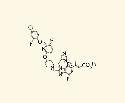 CCn1cncc1Cn1c(CN2CCC(Oc3ccc(F)c(COc4ccc(Cl)cc4F)n3)CC2)nc2c(F)cc(/C(C)=C/C(=O)O)cc21